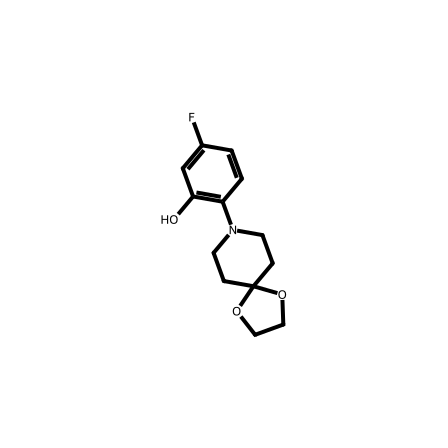 Oc1cc(F)ccc1N1CCC2(CC1)OCCO2